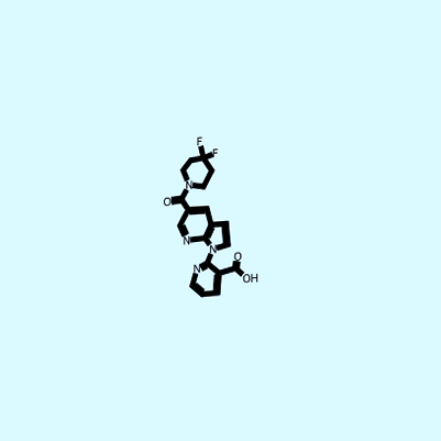 O=C(O)c1cccnc1-n1ccc2cc(C(=O)N3CCC(F)(F)CC3)cnc21